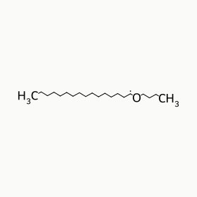 CCCCCCCCCCCCCCC[CH]OCCCC